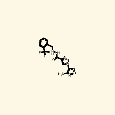 Nc1nonc1-n1cc(C(=O)NNCc2ccccc2C(F)(F)F)nn1